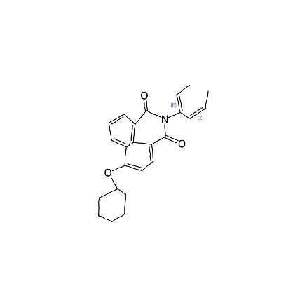 C/C=C\C(=C/C)N1C(=O)c2cccc3c(OC4CCCCC4)ccc(c23)C1=O